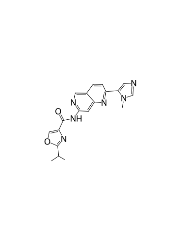 CC(C)c1nc(C(=O)Nc2cc3nc(-c4cncn4C)ccc3cn2)co1